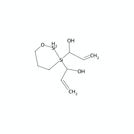 C=CC(O)[Si]1(C(O)C=C)CCCO[SiH2]1